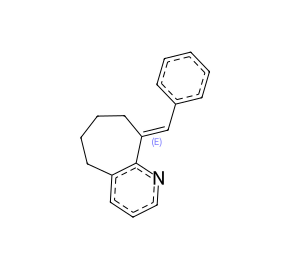 C(=C1/CCCCc2cccnc21)/c1ccccc1